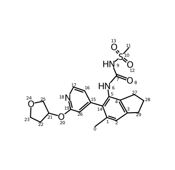 Cc1cc2c(c(NC(=O)NS(C)(=O)=O)c1-c1ccnc(OC3CCOC3)c1)CCC2